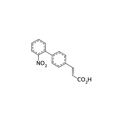 O=C(O)/C=C/c1ccc(-c2ccccc2[N+](=O)[O-])cc1